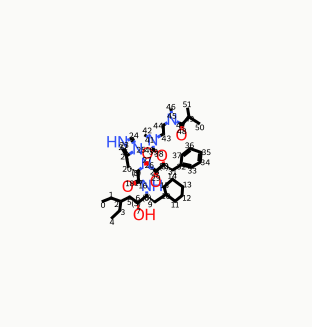 CCC(CC)C[C@H](O)[C@H](CC1CCCCC1)NC(=O)[C@H](Cc1c[nH]cn1)N(C)C(=O)[C@H](Cc1ccccc1)OC(=O)N(C)CCN(C)C(=O)C(C)C